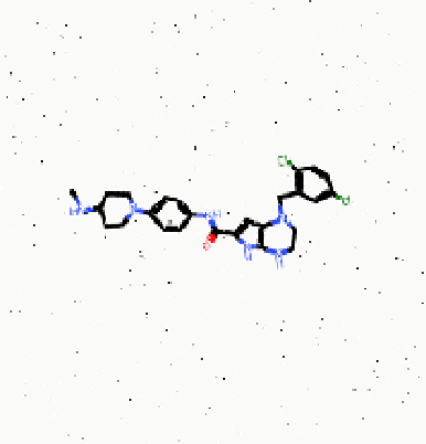 CNC1CCN(c2ccc(NC(=O)c3cc4c([nH]3)NCCN4Cc3cc(Cl)ccc3Cl)cc2)CC1